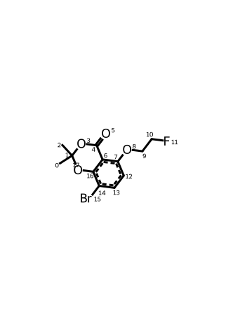 CC1(C)OC(=O)c2c(OCCF)ccc(Br)c2O1